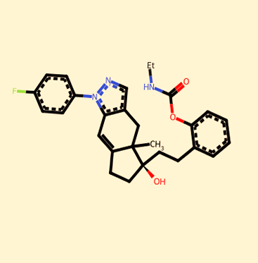 CCNC(=O)Oc1ccccc1CC[C@]1(O)CCC2=Cc3c(cnn3-c3ccc(F)cc3)CC21C